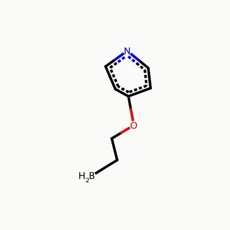 BCCOc1ccncc1